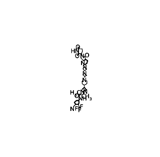 CC(C)(C(=O)Nc1ccc(C#N)c(C(F)(F)F)c1)n1cc(C2CCN(C3CN(C4CN(c5ccc6c(n5)CN(C5CCC(=O)NC5=O)C6=O)C4)C3)CC2)cn1